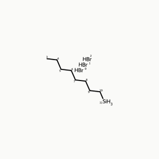 Br.Br.Br.CCCCCCCC[SiH3]